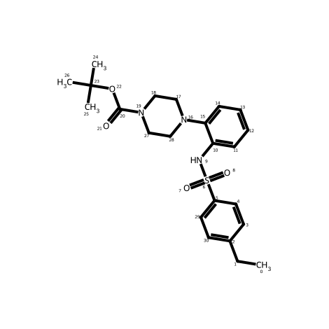 CCc1ccc(S(=O)(=O)Nc2ccccc2N2CCN(C(=O)OC(C)(C)C)CC2)cc1